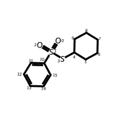 O=S(=O)(SC1CCCCC1)c1ccccc1